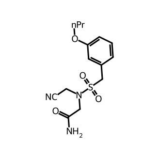 CCCOc1cccc(CS(=O)(=O)N(CC#N)CC(N)=O)c1